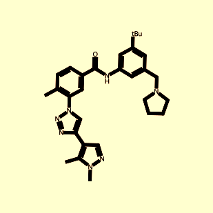 Cc1ccc(C(=O)Nc2cc(CN3CCCC3)cc(C(C)(C)C)c2)cc1-n1cc(-c2cnn(C)c2C)nn1